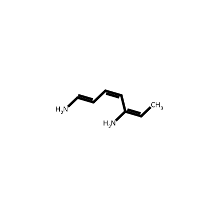 C\C=C(N)/C=C\C=C\N